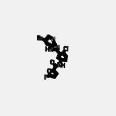 O=C(Nc1ccc(Cl)c(-c2nc3ncc(Br)cc3[nH]2)c1)c1ccc(F)o1